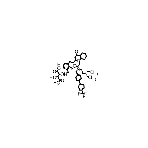 CCN(CC)CCN(Cc1ccc(-c2ccc(C(F)(F)F)cc2)cc1)C(=O)Cn1c(CCc2cccc(F)c2F)cc(=O)c2c1CCCC2.O=C(O)C(O)C(O)C(=O)O